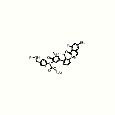 CCNCc1ccc(N(C(=O)OC(C)(C)C)c2cc(-c3cccc(-n4ncc5cc(C(C)(C)C)cc(F)c5c4=O)c3COC(C)=O)cn(C)c2=O)nc1